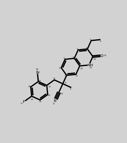 CCc1cc2ccc(C(C)(C#N)Cc3ccc(F)cc3Br)cc2[nH]c1=O